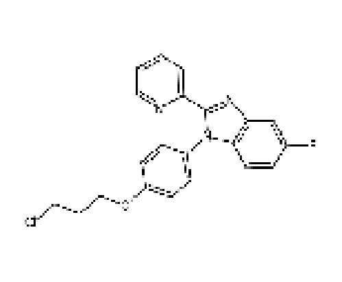 Fc1ccc2c(c1)nc(-c1ccccn1)n2-c1ccc(OCCCCl)cc1